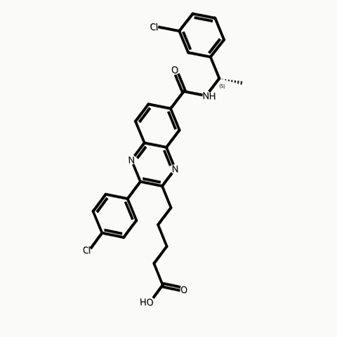 C[C@H](NC(=O)c1ccc2nc(-c3ccc(Cl)cc3)c(CCCCC(=O)O)nc2c1)c1cccc(Cl)c1